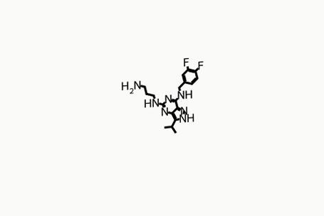 CC(C)c1[nH]nc2c(NCc3ccc(F)c(F)c3)nc(NCCCN)nc12